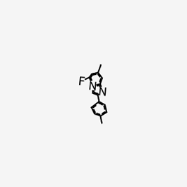 Cc1ccc(-c2cn3c(F)cc(C)cc3n2)cc1